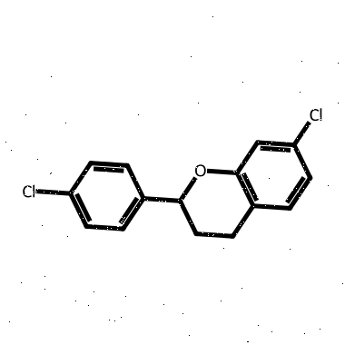 Clc1ccc(C2CCc3ccc(Cl)cc3O2)cc1